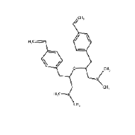 C=Cc1ccc(CC(CN(C)C)OC(Cc2ccc(C=C)cc2)CN(C)C)cc1